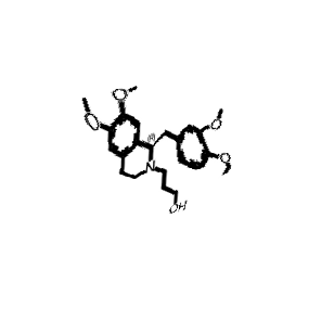 COc1ccc(C[C@@H]2c3cc(OC)c(OC)cc3CCN2CCCO)cc1OC